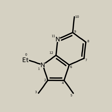 CCn1c(C)c(C)c2ccc(C)nc21